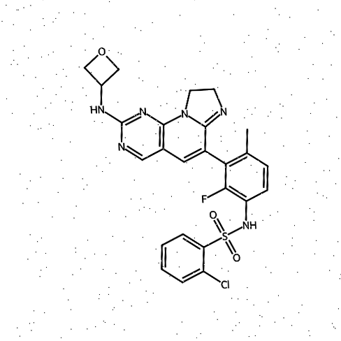 Cc1ccc(NS(=O)(=O)c2ccccc2Cl)c(F)c1C1=Cc2cnc(NC3COC3)nc2N2CCN=C12